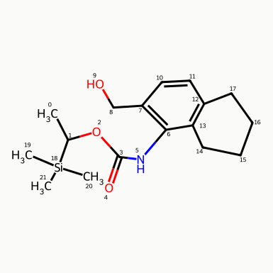 CC(OC(=O)Nc1c(CO)ccc2c1CCCC2)[Si](C)(C)C